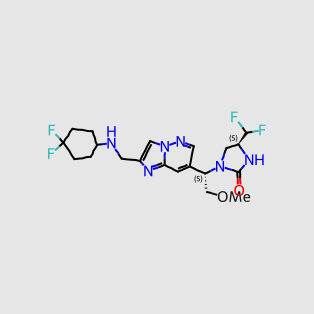 COC[C@H](c1cnn2cc(CNC3CCC(F)(F)CC3)nc2c1)N1C[C@@H](C(F)F)NC1=O